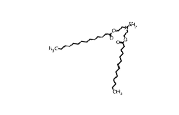 BN(CCOC(=O)CCCCCCCCCCCCC)CCOC(=O)CCCCCCCCCCCCC